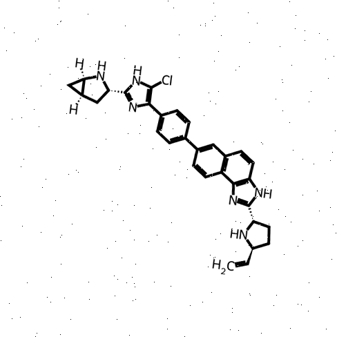 C=C[C@@H]1CC[C@@H](c2nc3c(ccc4cc(-c5ccc(-c6nc([C@@H]7C[C@H]8C[C@H]8N7)[nH]c6Cl)cc5)ccc43)[nH]2)N1